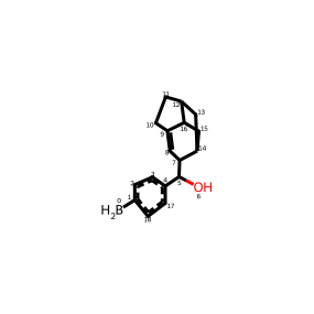 Bc1ccc(C(O)C2C=C3CCC4CC2CC34)cc1